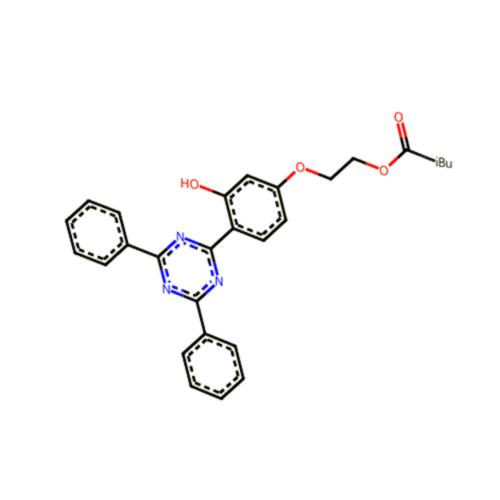 CCC(C)C(=O)OCCOc1ccc(-c2nc(-c3ccccc3)nc(-c3ccccc3)n2)c(O)c1